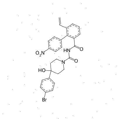 C=Cc1cccc(C(=O)NC(=O)N2CCC(O)(c3ccc(Br)cc3)CC2)c1-c1ccc([N+](=O)[O-])cc1